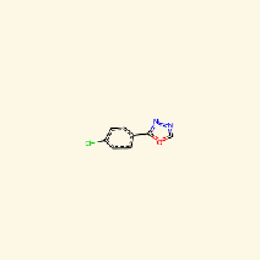 Clc1ccc(-c2nnco2)cc1